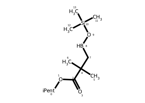 CCCC(C)OC(=O)C(C)(C)CBO[Si](C)(C)C